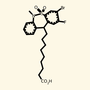 CN1c2ccccc2C(CCCCCCCCC(=O)O)c2cc(F)c(Br)cc2S1(=O)=O